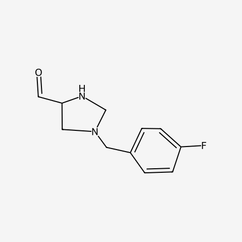 O=CC1CN(Cc2ccc(F)cc2)CN1